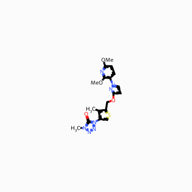 COc1ccc(-n2ccc(OCc3scc(-n4nnn(C)c4=O)c3C)n2)c(OC)n1